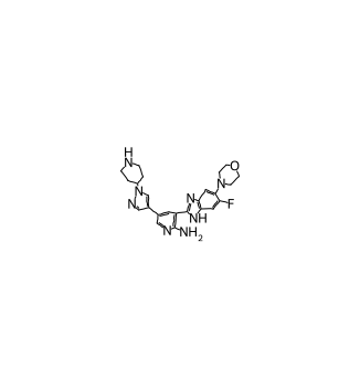 Nc1ncc(-c2cnn(C3CCNCC3)c2)cc1-c1nc2cc(N3CCOCC3)c(F)cc2[nH]1